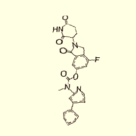 CN(C(=O)Oc1cc(F)c2c(c1)C(=O)N(C1CCC(=O)NC1=O)C2)c1cc(-c2ccccc2)ccn1